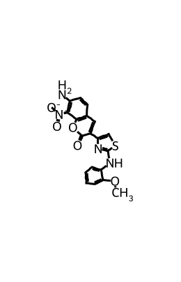 COc1ccccc1Nc1nc(-c2cc3ccc(N)c([N+](=O)[O-])c3oc2=O)cs1